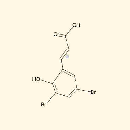 O=C(O)/C=C/c1cc(Br)cc(Br)c1O